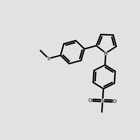 CSc1ccc(-c2cccn2-c2ccc(S(C)(=O)=O)cc2)cc1